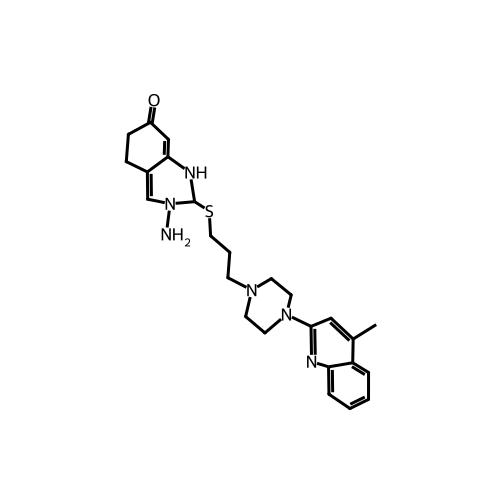 Cc1cc(N2CCN(CCCSC3NC4=CC(=O)CCC4=CN3N)CC2)nc2ccccc12